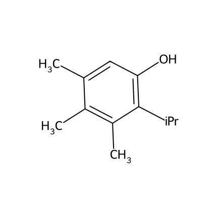 Cc1cc(O)c(C(C)C)c(C)c1C